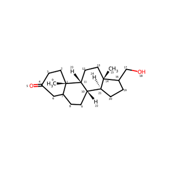 C[C@]12CCC(=O)CC1CC[C@@H]1[C@H]2CC[C@]2(C)C(CO)CC[C@@H]12